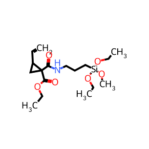 C=CC1CC1(C(=O)NCCC[Si](OC)(OCC)OCC)C(=O)OCC